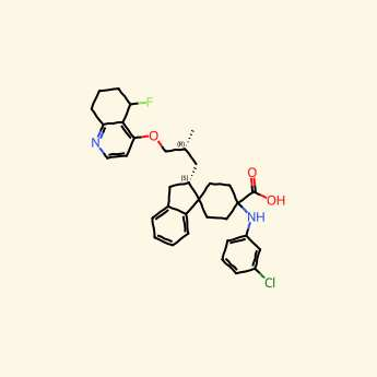 C[C@@H](COc1ccnc2c1C(F)CCC2)C[C@H]1Cc2ccccc2C12CCC(Nc1cccc(Cl)c1)(C(=O)O)CC2